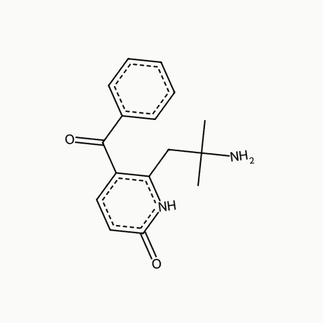 CC(C)(N)Cc1[nH]c(=O)ccc1C(=O)c1ccccc1